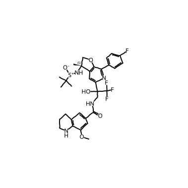 COc1cc(C(=O)NCC(O)(c2cc3c(c(-c4ccc(F)cc4)n2)OC[C@@]3(C)N[S+]([O-])C(C)(C)C)C(F)(F)F)cc2c1NCCC2